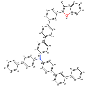 Cc1c(-c2cccc(-c3ccc(-c4ccc(N(c5ccc(-c6ccccc6)cc5)c5ccc(-c6cccc(-c7ccccc7)c6)cc5)cc4)cc3)c2)oc2ccccc12